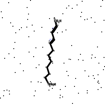 CCCCCCCCCCCCC/C=C/C=C/C(=O)O